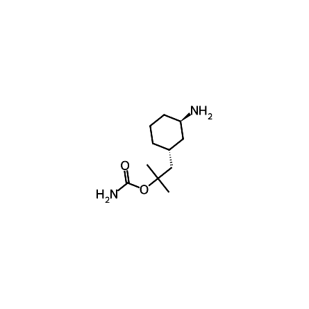 CC(C)(C[C@@H]1CCC[C@@H](N)C1)OC(N)=O